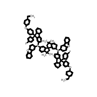 C=Cc1ccc(Oc2ccc(C3(c4ccc(F)cc4)c4ccccc4-c4ccc(N(c5ccc6c(c5)C5(CC6(C)C)CC(C)(C)c6ccc(N(c7ccc8c(c7)C(c7ccc(F)cc7)(c7ccc(Oc9ccc(C=C)cc9)cc7)c7ccccc7-8)c7ccc8oc9ccccc9c8c7)cc65)c5ccc6oc7ccccc7c6c5)cc43)cc2)cc1